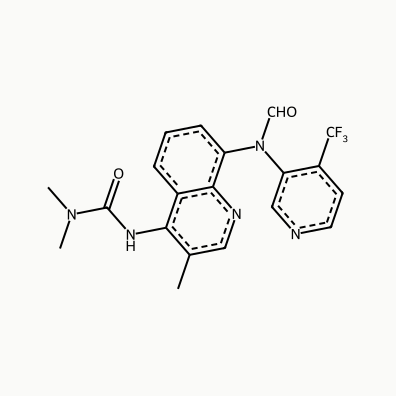 Cc1cnc2c(N(C=O)c3cnccc3C(F)(F)F)cccc2c1NC(=O)N(C)C